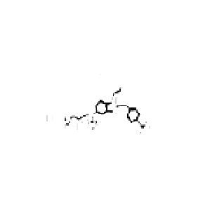 CN(C)CCCN(c1ccc2c(c1)nc(Cc1ccc(C(=N)N)cc1)n2CCC(=O)O)S(C)(=O)=O.Cl.Cl